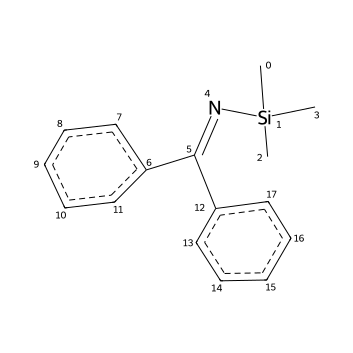 C[Si](C)(C)N=C(c1ccccc1)c1ccccc1